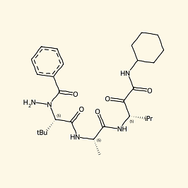 CC(C)[C@H](NC(=O)[C@H](C)NC(=O)[C@@H](N(N)C(=O)c1ccccc1)C(C)(C)C)C(=O)C(=O)NC1CCCCC1